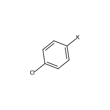 Clc1cc[c]([K])cc1